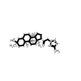 Cc1nnn(CC(=O)[C@H]2CC[C@H]3[C@@H]4CCC5C[C@](C)(O)CC[C@@H]5[C@H]4CC[C@]23C)n1